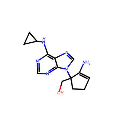 NC1=CCCC1(CO)n1cnc2c(NC3CC3)ncnc21